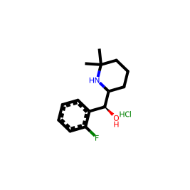 CC1(C)CCCC([C@@H](O)c2ccccc2F)N1.Cl